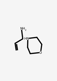 C1COCCN1.C=CCN